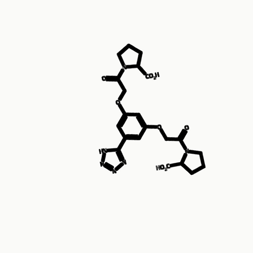 O=C(O)C1CCCN1C(=O)COc1cc(OCC(=O)N2CCCC2C(=O)O)cc(-c2nnn[nH]2)c1